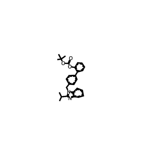 CC(C)c1nc2ccccc2n1Cc1ccc(-c2ccccc2OC(=O)OC(C)(C)C)cc1